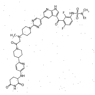 CCN(C)S(=O)(=O)Nc1ccc(F)c(C(=O)c2c[nH]c3ncc(-c4cnc(N5CCC(N(C)CC(=O)N6CCC(c7ccc(NC8CCC(=O)NC8=O)cn7)CC6)CC5)nc4)cc23)c1F